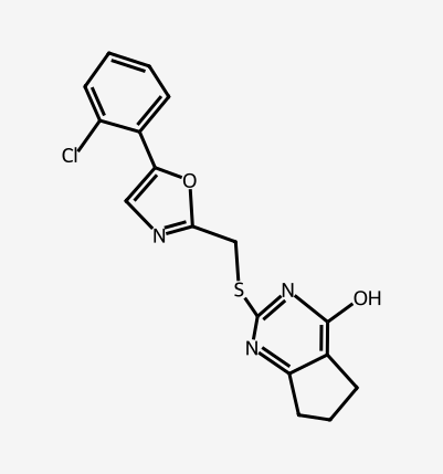 Oc1nc(SCc2ncc(-c3ccccc3Cl)o2)nc2c1CCC2